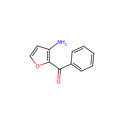 Nc1ccoc1C(=O)c1ccccc1